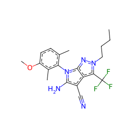 CCCCn1nc2c(c(C#N)c(N)n2-c2c(C)ccc(OC)c2C)c1C(F)(F)F